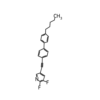 CCCCCc1ccc(-c2ccc(C#Cc3cnc(F)c(F)c3)cc2)cc1